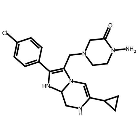 NN1CCN(CC2=C(c3ccc(Cl)cc3)NC3CNC(C4CC4)=CN23)CC1=O